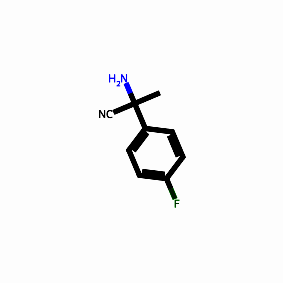 CC(N)(C#N)c1ccc(F)cc1